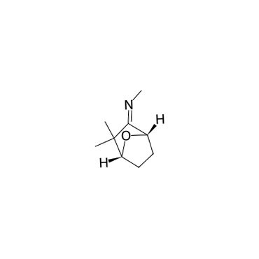 CN=C1[C@@H]2CC[C@@H](O2)C1(C)C